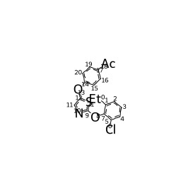 CCc1cccc(Cl)c1Oc1ncc(Oc2ccc(C(C)=O)cc2)s1